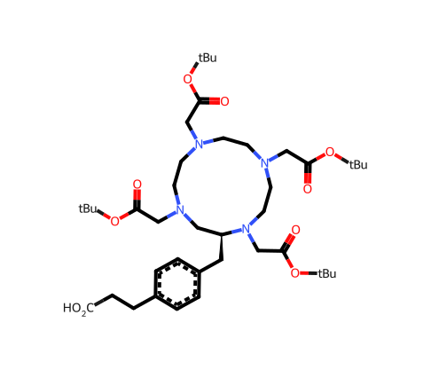 CC(C)(C)OC(=O)CN1CCN(CC(=O)OC(C)(C)C)CCN(CC(=O)OC(C)(C)C)[C@@H](Cc2ccc(CCC(=O)O)cc2)CN(CC(=O)OC(C)(C)C)CC1